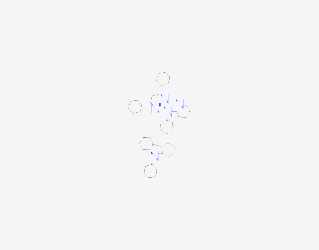 c1ccc(-c2cc(-c3ccccc3)nc(-n3c4ccc(-c5cccc6c5c5ccccc5n6-c5ccccc5)cc4c4cccnc43)n2)cc1